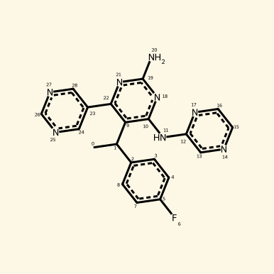 CC(c1ccc(F)cc1)c1c(Nc2cnccn2)nc(N)nc1-c1cncnc1